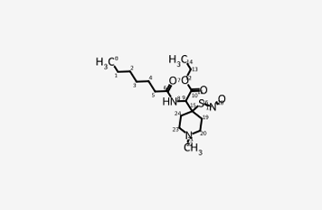 CCCCCCC(=O)NC(C(=O)OCC)C1(SN=O)CCN(C)CC1